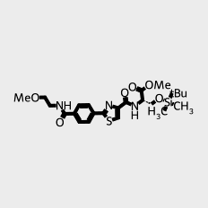 COCCNC(=O)c1ccc(-c2nc(C(=O)N[C@@H](CO[Si](C)(C)C(C)(C)C)C(=O)OC)cs2)cc1